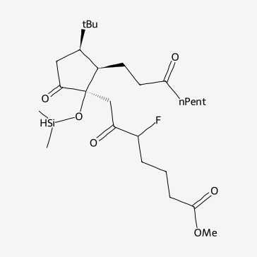 CCCCCC(=O)CC[C@@H]1[C@H](C(C)(C)C)CC(=O)[C@]1(CC(=O)C(F)CCCC(=O)OC)O[SiH](C)C